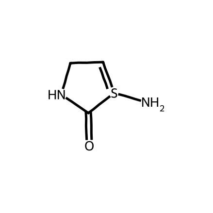 NS1=CCNC1=O